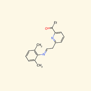 CCC(=O)c1cccc(CC=Nc2c(C)cccc2C)n1